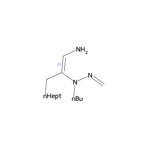 C=NN(CCCC)/C(=C\N)CCCCCCCC